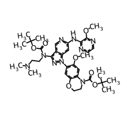 COc1cc2c(cc1-n1nc(N(CCN(C)C)C(=O)OC(C)(C)C)c3cnc(Nc4nccnc4OC)cc31)OCCN2C(=O)OC(C)(C)C